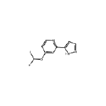 FC(F)Oc1ccnc(-c2ccn[nH]2)c1